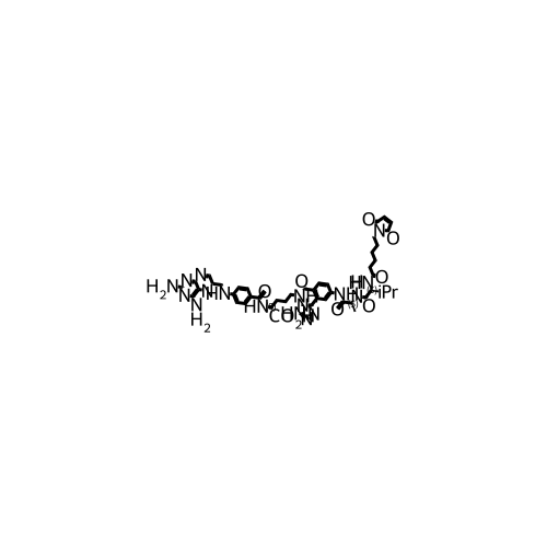 CC(C)[C@H](NC(=O)CCCCCN1C(=O)C=CC1=O)C(=O)N[C@@H](C)C(=O)Nc1ccc(C(=O)NCCC[C@H](NC(=O)c2ccc(NCc3cnc4nc(N)nc(N)c4n3)cc2)C(=O)O)c(-c2nn[nH]n2)c1